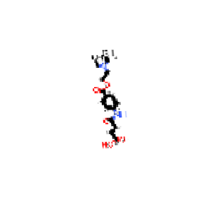 CCN(CC)CCOC(=O)c1ccc(NC(=O)CCC(=O)O)cc1